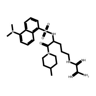 CC1CCN(C(=O)C(CCCNC(=N)C(=N)N)NS(=O)(=O)c2cccc3c(N(C)C)cccc23)CC1